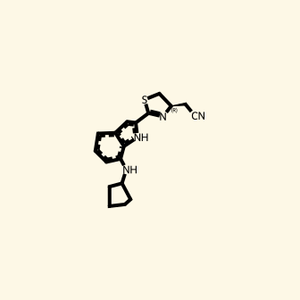 N#CC[C@@H]1CSC(c2cc3cccc(NC4CCCC4)c3[nH]2)=N1